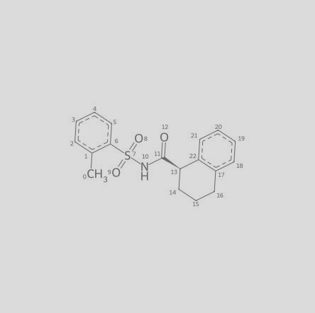 Cc1ccccc1S(=O)(=O)NC(=O)[C@@H]1CCCc2ccccc21